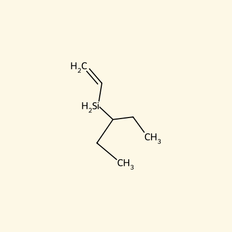 C=C[SiH2]C(CC)CC